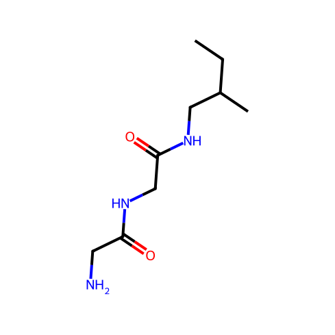 CCC(C)CNC(=O)CNC(=O)CN